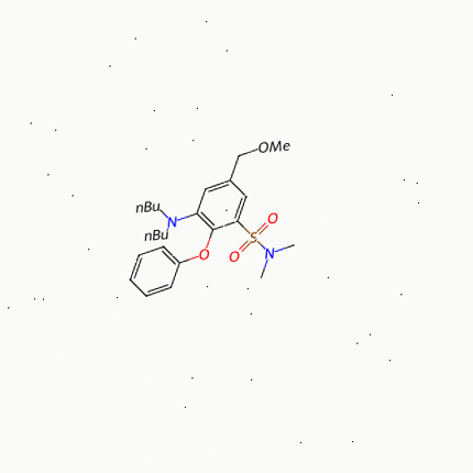 CCCCN(CCCC)c1cc(COC)cc(S(=O)(=O)N(C)C)c1Oc1ccccc1